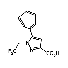 O=C(O)c1cc(-c2ccccc2)n(CC(F)(F)F)n1